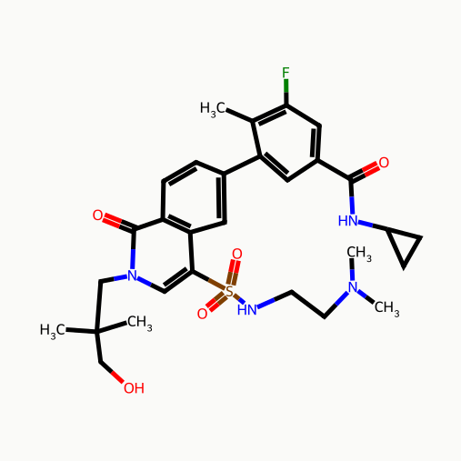 Cc1c(F)cc(C(=O)NC2CC2)cc1-c1ccc2c(=O)n(CC(C)(C)CO)cc(S(=O)(=O)NCCN(C)C)c2c1